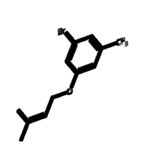 CC(C)=CCOc1cc(Br)cc(C(F)(F)F)c1